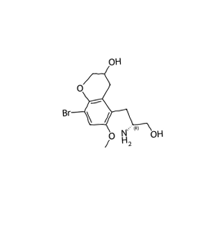 COc1cc(Br)c2c(c1C[C@@H](N)CO)CC(O)CO2